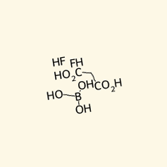 F.F.O=C(O)CC(=O)O.OB(O)O